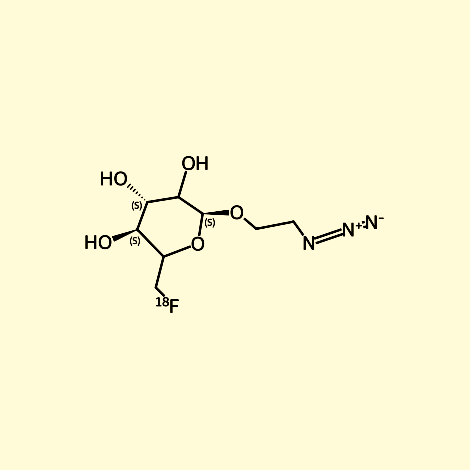 [N-]=[N+]=NCCO[C@H]1OC(C[18F])[C@@H](O)[C@H](O)C1O